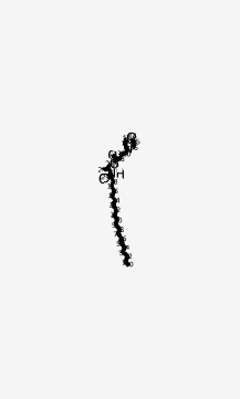 CCCCCC=CCC=CCC=CCC=CCCCC(=O)NC(C)COC(=O)CCCN1CCOCC1